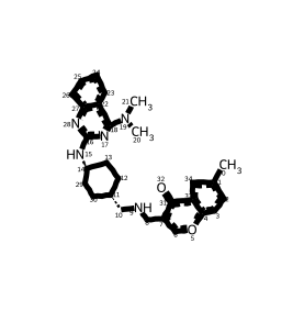 Cc1ccc2occ(CNC[C@H]3CC[C@@H](Nc4nc(N(C)C)c5ccccc5n4)CC3)c(=O)c2c1